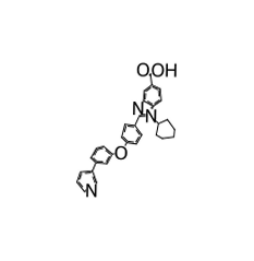 O=C(O)c1ccc2c(c1)nc(-c1ccc(Oc3cccc(-c4cccnc4)c3)cc1)n2C1CCCCC1